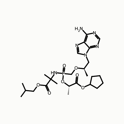 CC(C)COC(=O)C(C)(C)NP(=O)(CO[C@H](C)Cn1cnc2c(N)ncnc21)O[C@@H](C)C(=O)OC1CCCC1